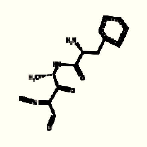 C[C@H](NC(=O)[C@@H](N)Cc1ccccc1)C(=O)C(C=O)=[N+]=[N-]